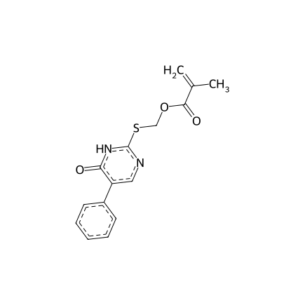 C=C(C)C(=O)OCSc1ncc(-c2ccccc2)c(=O)[nH]1